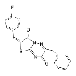 O=c1nc2s/c(=C/c3ccc(F)cc3)c(=O)n2nc1Cc1ccccc1